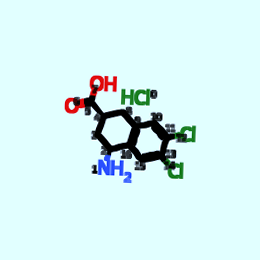 Cl.N[C@H]1C[C@@H](C(=O)O)Cc2cc(Cl)c(Cl)cc21